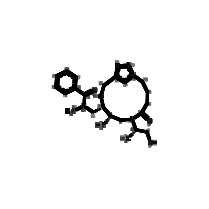 C[C@H]1CN([C@@H](C)CO)C(=O)CCCn2cc(nn2)CO[C@H]1CN(C)C(=O)c1ccccc1